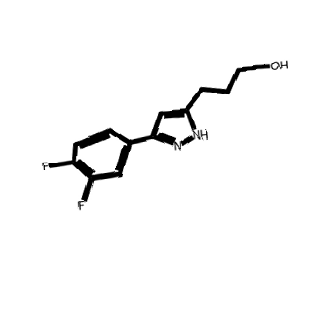 OCCCc1cc(-c2ccc(F)c(F)c2)n[nH]1